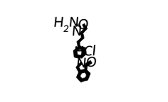 Cl.NC1=NC(CCc2ccc(N3Cc4ccccc4C3=O)cc2)CO1